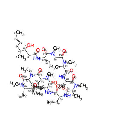 C/C=C/C[C@@H](C)[C@@H](O)CC(=O)N[C@@H](CC)C(=O)N(C)CC(=O)N(C)[C@H](C)C(=O)N[C@H](C(=O)N(C)[C@@H](C)C(=O)N[C@@H](CC(C)C)C(=O)N[C@H](C)C(=O)N(C)[C@@H](CC(C)C)C(=O)N(C)[C@@H](CC(C)C)C(=O)N(C)[C@H](C(=O)NC)C(C)C)C(C)(C)C